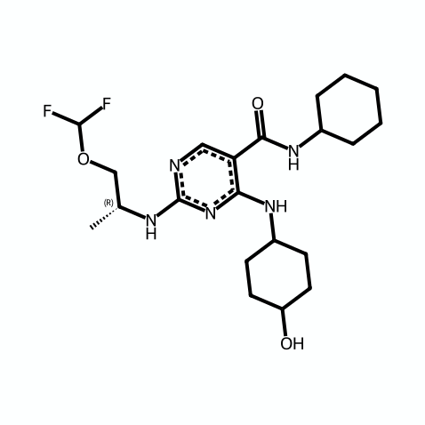 C[C@H](COC(F)F)Nc1ncc(C(=O)NC2CCCCC2)c(NC2CCC(O)CC2)n1